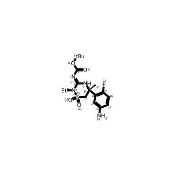 CCN1/C(=N/C(=O)OC(C)(C)C)N[C@](C)(c2cc(N)ccc2F)CS1(=O)=O